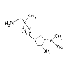 CN(C1CC(COC(C)(C)CN)CC1O)C(C)(C)C